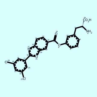 N[C@H](Cc1cccc(OC(=O)c2ccc3nc(-c4cc(Cl)cc(Cl)c4)oc3c2)c1)C(=O)O